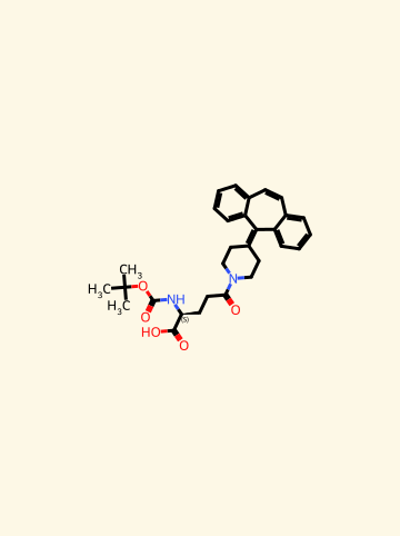 CC(C)(C)OC(=O)N[C@@H](CCC(=O)N1CCC(=C2c3ccccc3C=Cc3ccccc32)CC1)C(=O)O